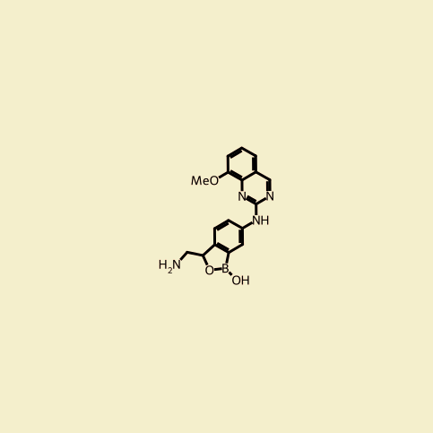 COc1cccc2cnc(Nc3ccc4c(c3)B(O)OC4CN)nc12